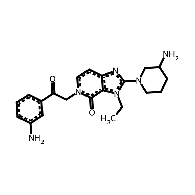 CCn1c(N2CCCC(N)C2)nc2ccn(CC(=O)c3cccc(N)c3)c(=O)c21